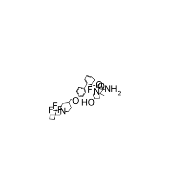 CC1(C(N)=O)CC(O)CN1C(=O)C1(F)CC=CC=C1c1ccc(OCC2CCN(CC3(C(F)(F)F)CCC3)CC2)cc1